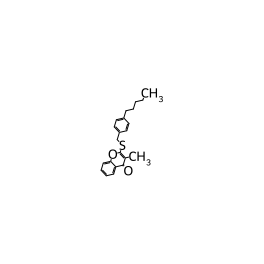 CCCCCc1ccc(CSc2oc3ccccc3c(=O)c2C)cc1